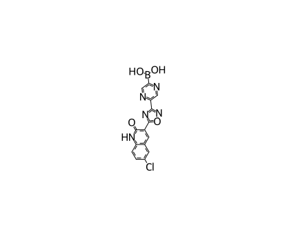 O=c1[nH]c2ccc(Cl)cc2cc1-c1nc(-c2cnc(B(O)O)cn2)no1